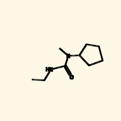 CCNC(=O)N(C)C1CCCC1